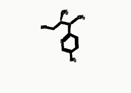 C[C@@H](CO)N(C)c1ccc(N)cn1